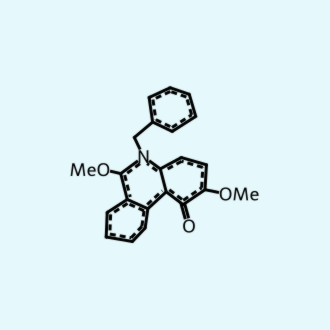 COc1ccc2n(Cc3ccccc3)c(OC)c3ccccc3c-2c1=O